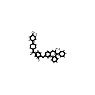 C=C1Cc2ccc(Cc3ccc(C(=O)C4CCC(C5CCC(C)CC5)CC4)cc3CC)cc2-c2ccccc2C1C1CCCCC1